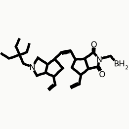 BCN1C(=O)C2C(C=C)CC(/C=C\C3CC(C=C)C4CN(CC(CC)(CC)CC)CC34)C2C1=O